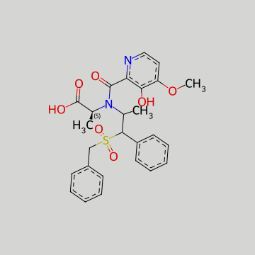 COc1ccnc(C(=O)N(C(C)C(c2ccccc2)S(=O)(=O)Cc2ccccc2)[C@@H](C)C(=O)O)c1O